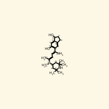 CN(/C(N)=C/C=C(\N)c1cc2c(cc1O)C(O)CC2)C1CC(C)(C)NC(C)(C)C1